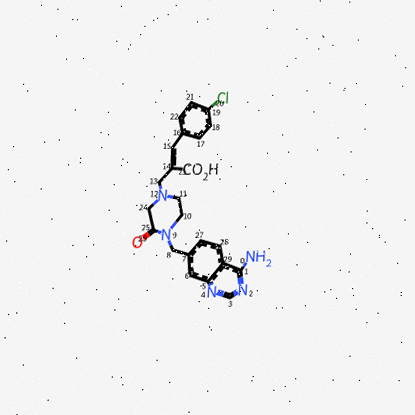 Nc1ncnc2cc(CN3CCN(C/C(=C/c4ccc(Cl)cc4)C(=O)O)CC3=O)ccc12